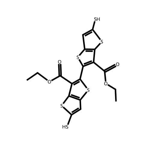 CCOC(=O)c1c(-c2sc3cc(S)sc3c2C(=O)OCC)sc2cc(S)sc12